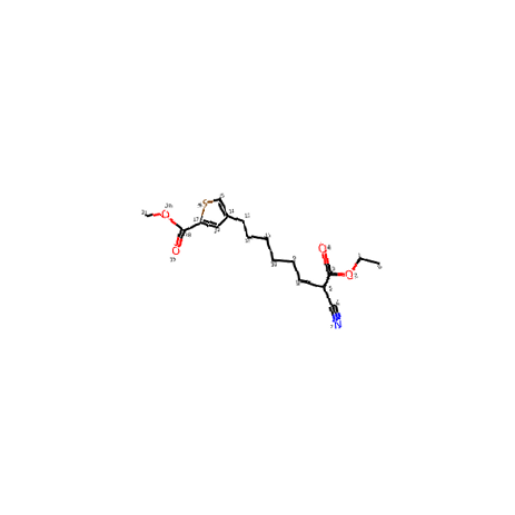 CCOC(=O)C(C#N)CCCCCCc1csc(C(=O)OC)c1